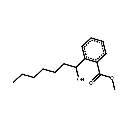 CCCCCCC(O)c1ccccc1C(=O)OC